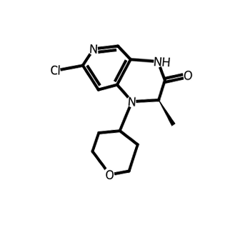 C[C@@H]1C(=O)Nc2cnc(Cl)cc2N1C1CCOCC1